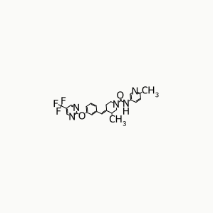 Cc1ccc(NC(=O)N2CC/C(=C\c3cccc(Oc4ncc(C(F)(F)F)cn4)c3)C(C)C2)cn1